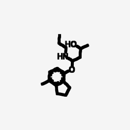 CCCNC(CC(C)O)Oc1ccc(C)c2c1CCC2